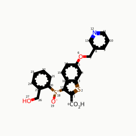 O=C(O)c1sc2cc(OCc3cccnc3)ccc2c1[S+]([O-])c1ccccc1CO